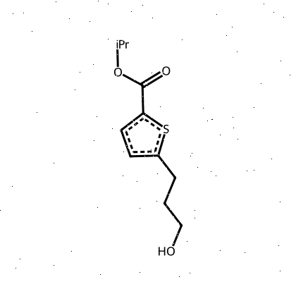 CC(C)OC(=O)c1ccc(CCCO)s1